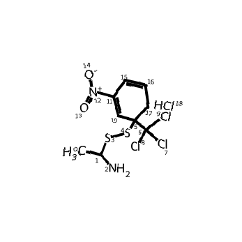 CC(N)SSC1(C(Cl)(Cl)Cl)C=C([N+](=O)[O-])C=CC1.Cl